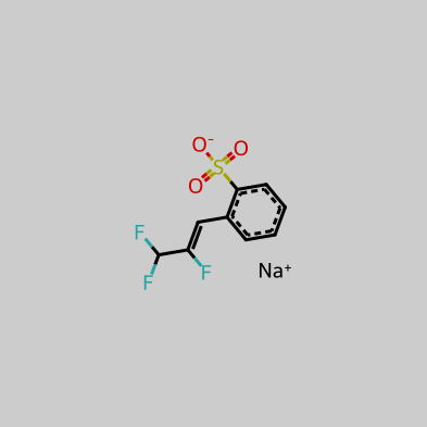 O=S(=O)([O-])c1ccccc1C=C(F)C(F)F.[Na+]